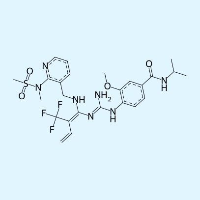 C=C/C(=C(\N=C(/N)Nc1ccc(C(=O)NC(C)C)cc1OC)NCc1cccnc1N(C)S(C)(=O)=O)C(F)(F)F